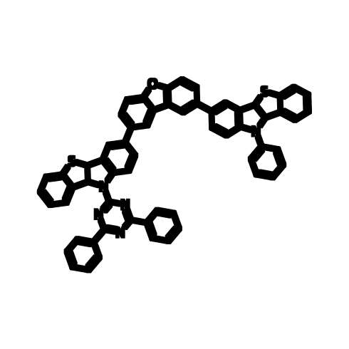 c1ccc(-c2nc(-c3ccccc3)nc(N3c4ccc(-c5ccc6oc7ccc(-c8ccc9c(c8)C8Sc%10ccccc%10C8N9c8ccccc8)cc7c6c5)cc4C4Sc5ccccc5C43)n2)cc1